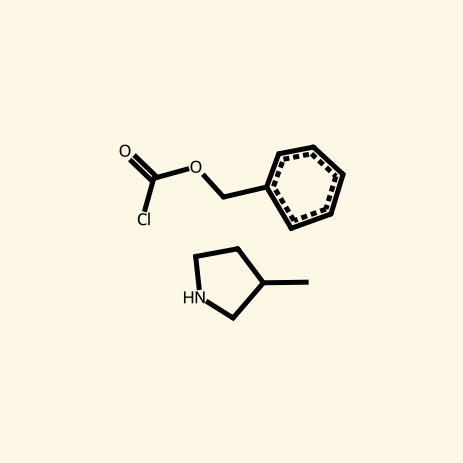 CC1CCNC1.O=C(Cl)OCc1ccccc1